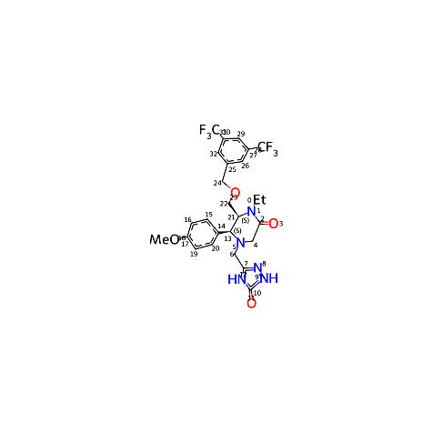 CCN1C(=O)CN(Cc2n[nH]c(=O)[nH]2)[C@@H](c2ccc(OC)cc2)[C@H]1COCc1cc(C(F)(F)F)cc(C(F)(F)F)c1